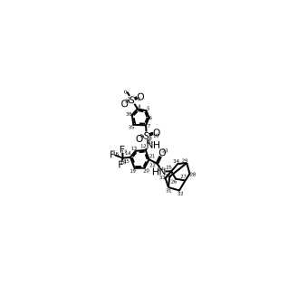 CS(=O)(=O)c1ccc(S(=O)(=O)Nc2cc(C(F)(F)F)ccc2C(=O)NC23CC4CC(CC(C4)C2)C3)cc1